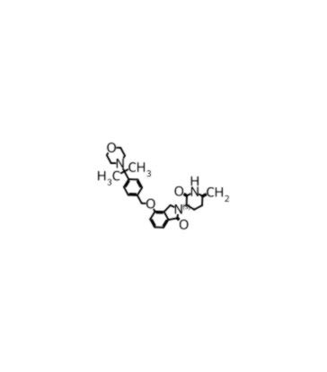 C=C1CC[C@H](N2Cc3c(OCc4ccc(C(C)(C)N5CCOCC5)cc4)cccc3C2=O)C(=O)N1